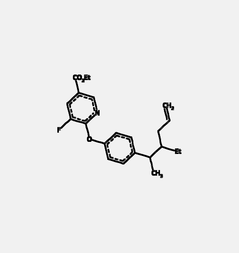 C=CCC(CC)C(C)c1ccc(Oc2ncc(C(=O)OCC)cc2F)cc1